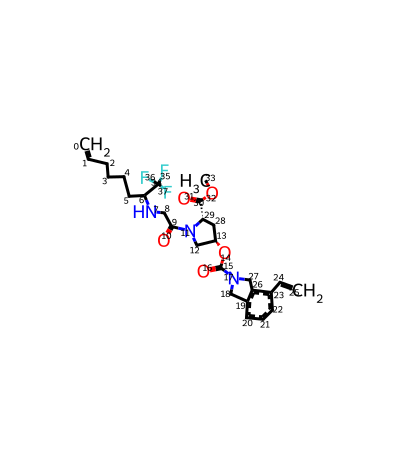 C=CCCCCC(NCC(=O)N1C[C@H](OC(=O)N2Cc3cccc(C=C)c3C2)C[C@H]1C(=O)OC)C(F)(F)F